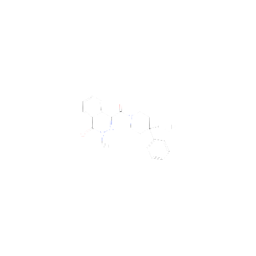 CCCn1nc(C(=O)N2CCC(C(=O)O)(c3ccccc3)CC2)c2ccccc2c1=O